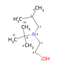 CC(C)CN(CCO)C(C)(C)C